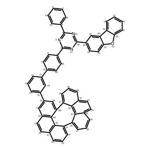 c1ccc(-c2nc(-c3ccc(-c4cccc(-c5cc6ccc7cccc8c9cccc%10ccc%11cccc(c(c5)c6c78)c%11c%109)c4)cc3)nc(-c3ccc4oc5ccccc5c4c3)n2)cc1